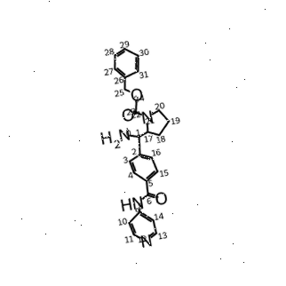 NC(c1ccc(C(=O)Nc2ccncc2)cc1)C1CCCN1C(=O)OCc1ccccc1